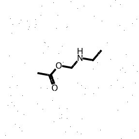 CCNCOC(C)=O